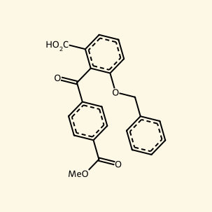 COC(=O)c1ccc(C(=O)c2c(OCc3ccccc3)cccc2C(=O)O)cc1